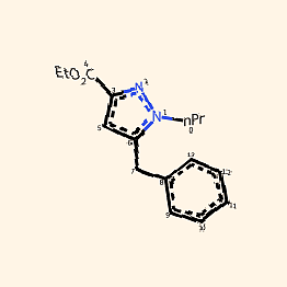 CCCn1nc(C(=O)OCC)cc1Cc1ccccc1